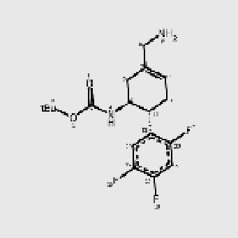 CC(C)(C)OC(=O)N[C@H]1CC(CN)=CC[C@@H]1c1cc(F)c(F)cc1F